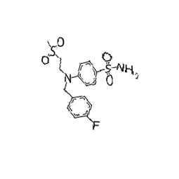 CS(=O)(=O)CCN(Cc1ccc(F)cc1)c1ccc(S(N)(=O)=O)cc1